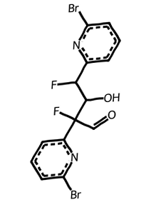 O=CC(F)(c1cccc(Br)n1)C(O)C(F)c1cccc(Br)n1